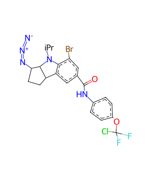 CC(C)N1c2c(Br)cc(C(=O)Nc3ccc(OC(F)(F)Cl)cc3)cc2C2CCC(N=[N+]=[N-])C21